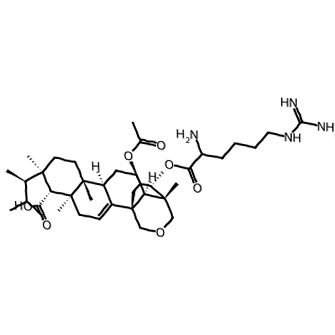 CC(=O)O[C@@H]1C[C@]23COC[C@](C)([C@@H]2CC[C@H]2C3=CC[C@@]3(C)[C@H](C(=O)O)[C@@](C)([C@H](C)C(C)C)CC[C@]23C)[C@H]1OC(=O)C(N)CCCCNC(=N)N